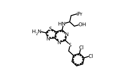 CC(C)CC(CO)Nc1nc(SCc2cccc(Cl)c2Cl)nc2nc(N)sc12